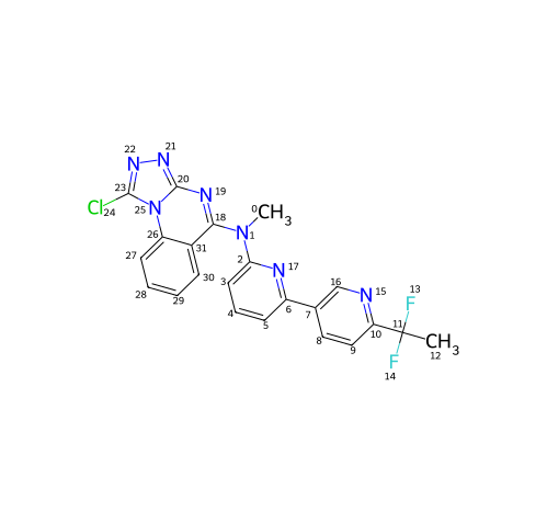 CN(c1cccc(-c2ccc(C(C)(F)F)nc2)n1)c1nc2nnc(Cl)n2c2ccccc12